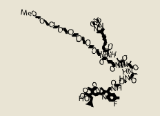 COCCOCCOCCOCCOCCOCCOCCOCCNC(=O)[C@H](CCC(=O)N[C@@H](C)C(=O)N[C@@H](C)C(=O)N[C@@H](C)C(=O)NCOCC(=O)NCc1c2c(nc3cc(F)c(C)cc13)-c1cc3c(c(=O)n1C2)COC(=O)[C@]3(O)CC1CC1)NC(=O)CCCC#Cc1cnc(S(C)(=O)=O)nc1